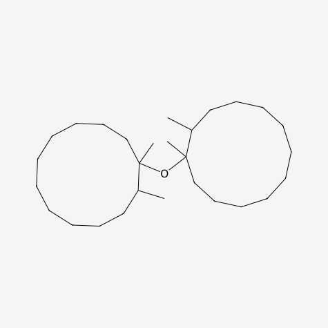 CC1CCCCCCCCCCC1(C)OC1(C)CCCCCCCCCCC1C